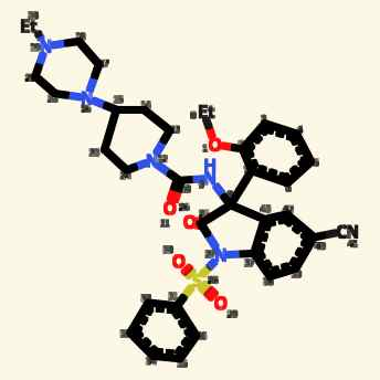 CCOc1ccccc1C1(NC(=O)N2CCC(N3CCN(CC)CC3)CC2)C(=O)N(S(=O)(=O)c2ccccc2)c2ccc(C#N)cc21